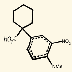 CNc1ccc(C2(C(=O)O)CCCCC2)cc1[N+](=O)[O-]